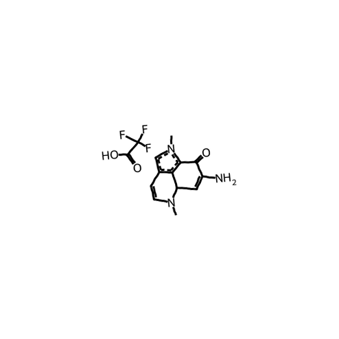 CN1C=Cc2cn(C)c3c2C1C=C(N)C3=O.O=C(O)C(F)(F)F